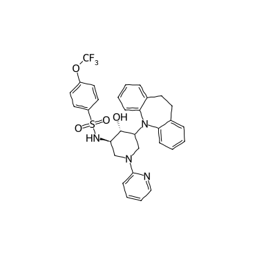 O=S(=O)(N[C@@H]1CN(c2ccccn2)CC(N2c3ccccc3CCc3ccccc32)[C@H]1O)c1ccc(OC(F)(F)F)cc1